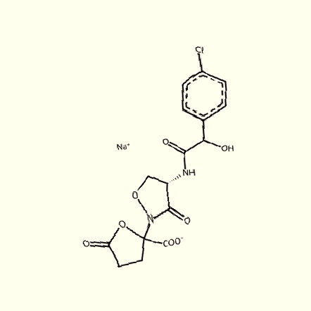 O=C1CCC(C(=O)[O-])(N2OC[C@H](NC(=O)C(O)c3ccc(Cl)cc3)C2=O)O1.[Na+]